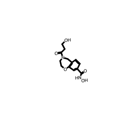 O=C(NO)c1ccc2c(c1)OCCN(C(=O)CCO)C2